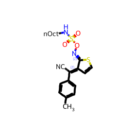 CCCCCCCCNS(=O)(=O)O/N=C1\SC=C\C1=C(\C#N)c1ccc(C)cc1